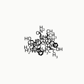 CC[C@H](C)[C@H](NC(=O)[C@H](Cc1ccc(O)cc1)NC(=O)[C@@H](NC(=O)[C@H](CCC(N)=O)NC(=O)[C@H](Cc1c[nH]c2ccccc12)NC(=O)[C@H](CC(=O)O)NC(=O)C(C)(C)N)[C@@H](C)CC)C(N)=O